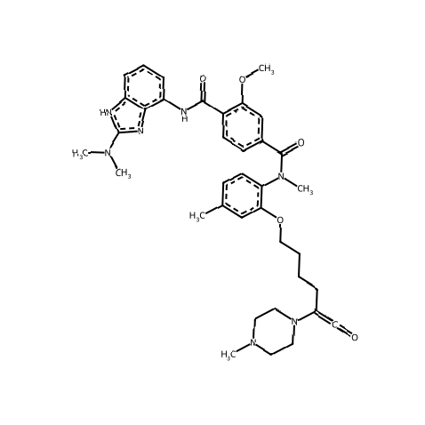 COc1cc(C(=O)N(C)c2ccc(C)cc2OCCCCC(=C=O)N2CCN(C)CC2)ccc1C(=O)Nc1cccc2[nH]c(N(C)C)nc12